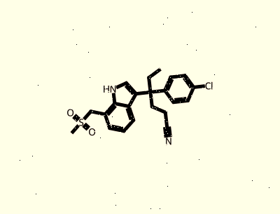 CCC(CCC#N)(c1ccc(Cl)cc1)c1c[nH]c2c(CS(C)(=O)=O)cccc12